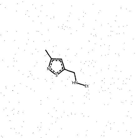 CCNCc1cc(C)ns1